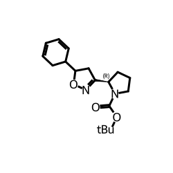 CC(C)(C)OC(=O)N1CCC[C@@H]1C1=NOC(C2C=CC=CC2)C1